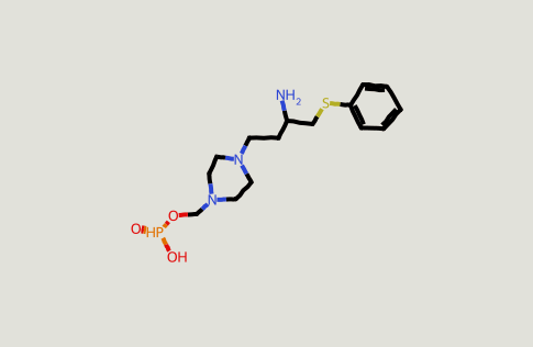 NC(CCN1CCN(CO[PH](=O)O)CC1)CSc1ccccc1